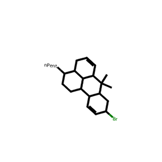 CCCCCC1CCC2C3C=CC(Br)CC3C(C)(C)C3C=CCC1C23